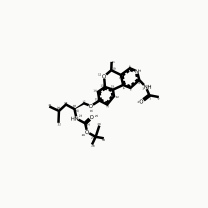 CC(=O)Nc1cc2c(cn1)C(C)Oc1cc(OC[C@H](CC(C)C)NC(=O)OC(C)(C)C)ccc1-2